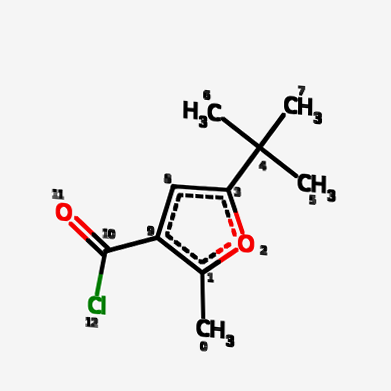 Cc1oc(C(C)(C)C)cc1C(=O)Cl